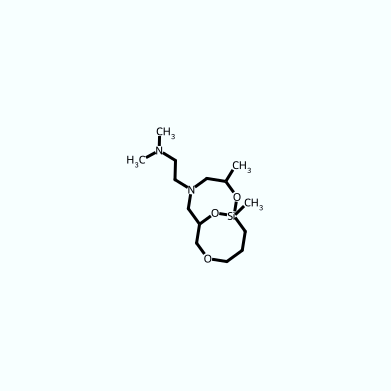 CC1CN(CCN(C)C)CC2COCCC[Si](C)(O1)O2